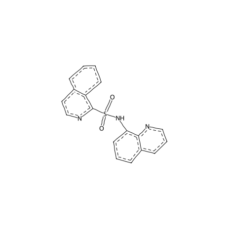 O=S(=O)(Nc1cccc2cccnc12)c1nccc2ccccc12